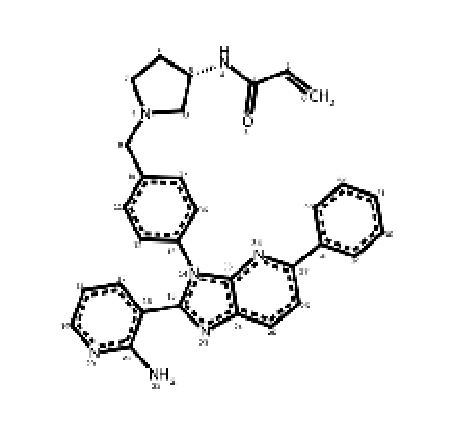 C=CC(=O)N[C@H]1CCN(Cc2ccc(-n3c(-c4cccnc4N)nc4ccc(-c5ccccc5)nc43)cc2)C1